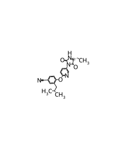 CC[C@H]1NC(=O)N(c2ccc(Oc3ccc(C#N)cc3CC(C)C)nc2)C1=O